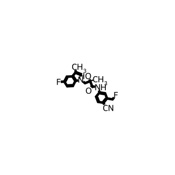 Cc1cn(C[C@](C)(O)C(=O)Nc2ccc(C#N)c(CF)c2)c2ccc(F)cc12